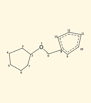 [CH](OC1CCCCC1)c1ccccc1